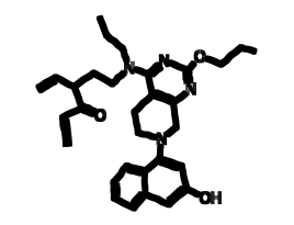 C=CC(=O)C(C=C)CCN(CCC)c1nc(OCCC)nc2c1CCN(c1cc(O)cc3ccccc13)C2